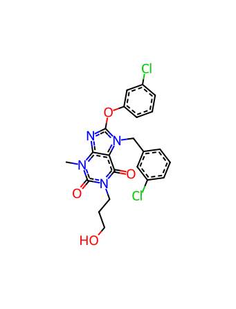 Cn1c(=O)n(CCCO)c(=O)c2c1nc(Oc1cccc(Cl)c1)n2Cc1cccc(Cl)c1